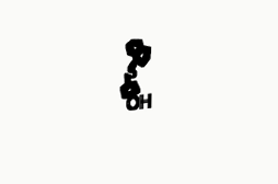 Oc1ccc(CSCc2cccc3ccccc23)cc1